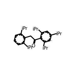 CC(C)c1[c]c(C(C)C)c(C(=O)Cc2c(C(C)C)cccc2C(C)C)c(C(C)C)c1